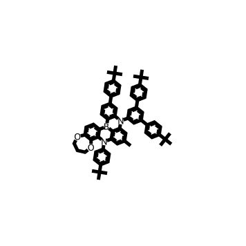 Cc1cc2c3c(c1)N(c1ccc(C(C)(C)C)cc1)c1c(ccc4c1OCCCO4)B3c1ccc(-c3ccc(C(C)(C)C)cc3)cc1N2c1cc(-c2ccc(C(C)(C)C)cc2)cc(-c2ccc(C(C)(C)C)cc2)c1